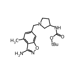 Cc1cc(CN2CCC(NC(=O)OC(C)(C)C)C2)cc2onc(N)c12